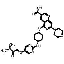 CN(C)C(=O)COc1cnc(N[C@H]2CC[C@@H](Oc3nc(N4CCOCC4)cc4ncc(C(=O)O)cc34)CC2)nc1